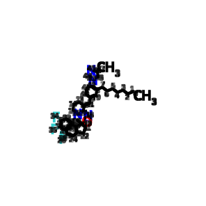 CCCCCCCCc1cc(/C=C2\CCCN3C2=NOC2(CCc4cc(F)ccc42)[C@@H]3c2cc(F)c(F)c(F)c2)ccc1N1C=NC(C)C1